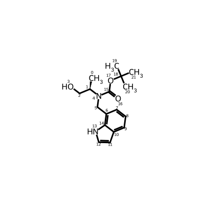 C[C@H](CO)N(Cc1cccc2cc[nH]c12)C(=O)OC(C)(C)C